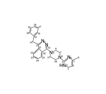 CC1=CCNC(N2CCN(c3nnc(Cc4ccccc4)c4ccccc34)CC2)=N1